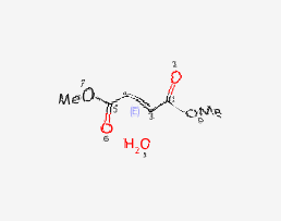 COC(=O)/C=C/C(=O)OC.O